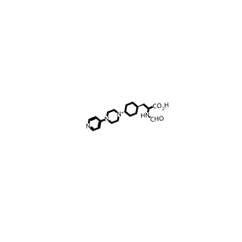 O=CNC(C[C@H]1CC[C@H](N2CCN(c3ccncc3)CC2)CC1)C(=O)O